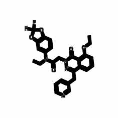 CCOc1cccc2c(Cc3cccnc3)nn(CC(=O)N(CC)c3ccc4c(c3)OC(F)(F)O4)c(=O)c12